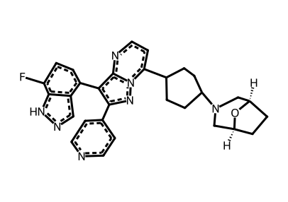 Fc1ccc(-c2c(-c3ccncc3)nn3c(C4CCC(N5C[C@H]6CC[C@@H](C5)O6)CC4)ccnc23)c2cn[nH]c12